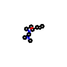 c1ccc(-c2ccccc2N(c2ccc(-c3ccc4c(c3)Cc3ccccc3-4)cc2)c2ccc3c(c2)c2ccccc2n3-c2ccccc2)cc1